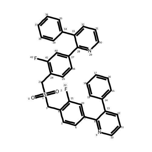 O=S(=O)(Cc1ccc(-c2ncccc2-c2ccccc2)cc1F)Cc1ccc(-c2ncccc2-c2ccccc2)cc1F